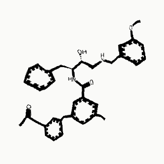 COc1cccc(CNC[C@@H](O)[C@H](Cc2ccccc2)NC(=O)c2cc(C)cc(-c3cccc(C(C)=O)c3)c2)c1